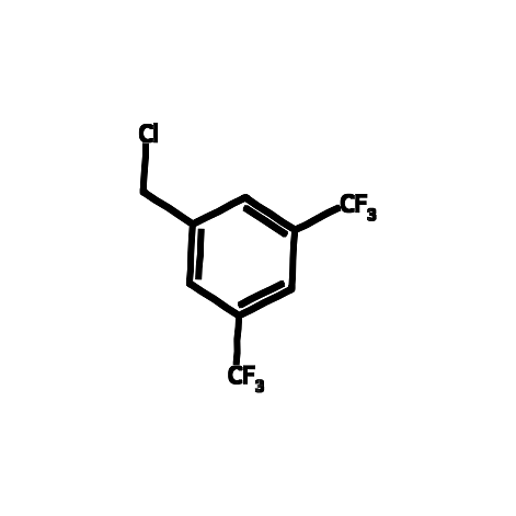 FC(F)(F)c1cc(CCl)cc(C(F)(F)F)c1